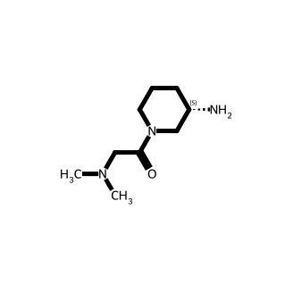 CN(C)CC(=O)N1CCC[C@H](N)C1